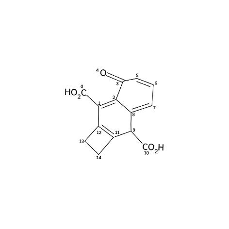 O=C(O)C1=C2C(=O)C=CC=C2C(C(=O)O)C2=C1CC2